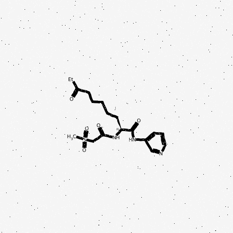 CCC(=O)CCCCC[C@H](NC(=O)CS(C)(=O)=O)C(=O)Nc1cccnc1